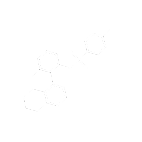 Cc1ccc(S(=O)(=O)Oc2cccc(C)c2-c2cccc3c2CCCC3)cc1